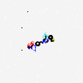 O=C(NC1CCC(CCN2CCN(c3cccc4sccc34)C(C(F)(F)F)C2)CC1)c1ncco1